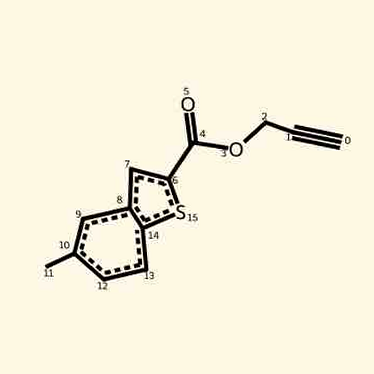 C#CCOC(=O)c1cc2cc(C)ccc2s1